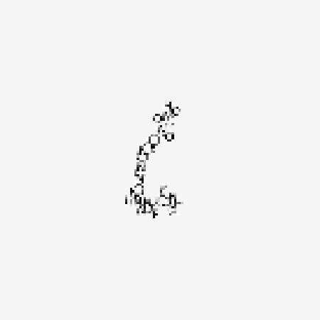 Cc1nc2c(F)cc(-c3nc(Nc4ccc(N5CCN(C6CCN(Cc7cc8c(cc7F)C(=O)N(C7CCC(=O)NC7=O)C8)CC6)CC5)cn4)ncc3F)cc2n1C(C)C